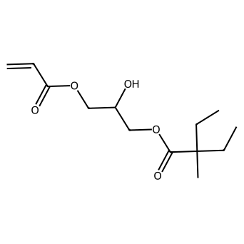 C=CC(=O)OCC(O)COC(=O)C(C)(CC)CC